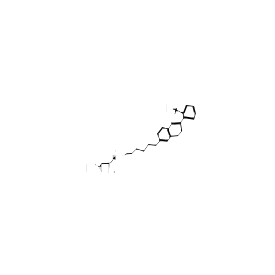 NCC(N)C(=O)OCCCCCCc1ccc2c(c1)CCC(c1ccccc1C(F)(F)F)=C2